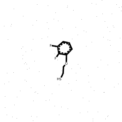 Fc1cccc(OCCS)c1F